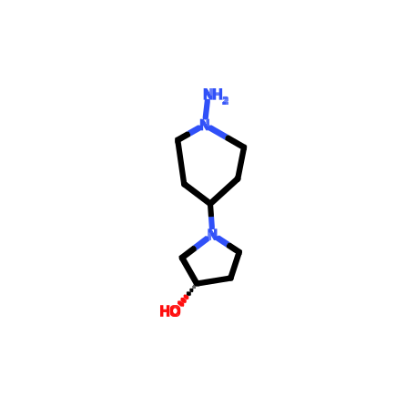 NN1CCC(N2CC[C@H](O)C2)CC1